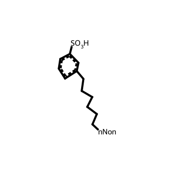 CCCCCCCCCCCCCCCc1cccc(S(=O)(=O)O)c1